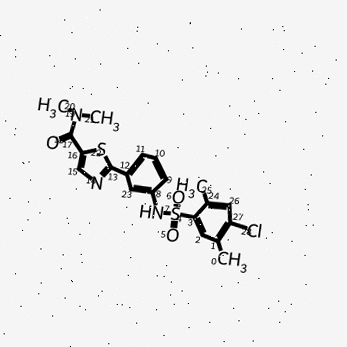 Cc1cc(S(=O)(=O)Nc2cccc(-c3ncc(C(=O)N(C)C)s3)c2)c(C)cc1Cl